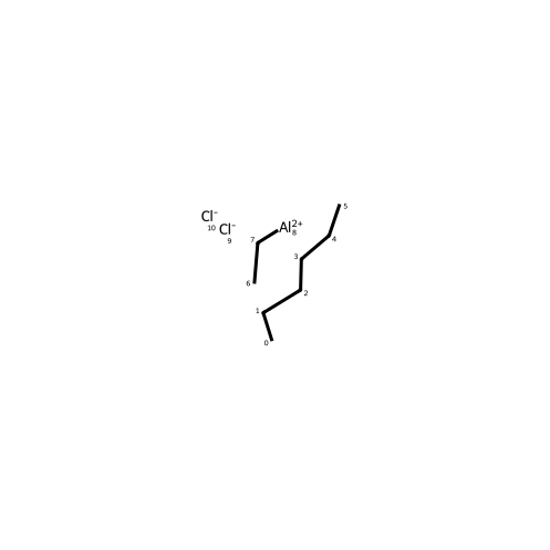 CCCCCC.C[CH2][Al+2].[Cl-].[Cl-]